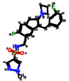 Cn1cc(S(=O)(=O)NCc2cc3c(cc2F)CC(N2CCC2)C3Cc2cccc(F)c2)cn1